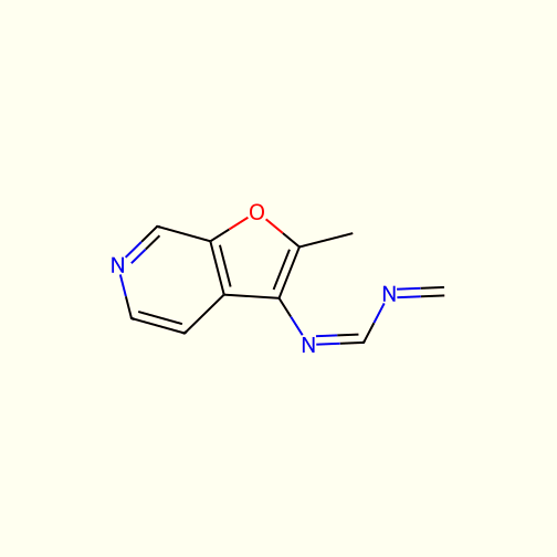 C=N/C=N\c1c(C)oc2cnccc12